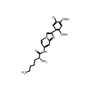 COc1cc(OC)c(-c2cn3ccc(NC(=O)[C@@H](N)CCCCN)cc3n2)cc1Cl